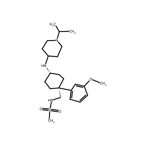 COc1cccc([C@]2(CNS(C)(=O)=O)CC[C@@H](NC3CCN(C(C)C)CC3)CC2)c1